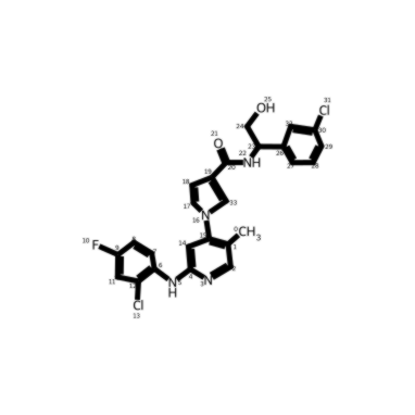 Cc1cnc(Nc2ccc(F)cc2Cl)cc1-n1ccc(C(=O)NC(CO)c2cccc(Cl)c2)c1